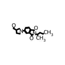 CCCC(C)N1C(=O)c2ccc(N3CCC(C=O)C3)cc2C1=O